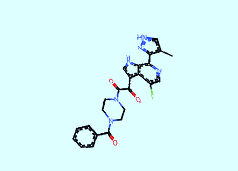 Cc1c[nH]nc1-c1ncc(F)c2c(C(=O)C(=O)N3CCN(C(=O)c4ccccc4)CC3)c[nH]c12